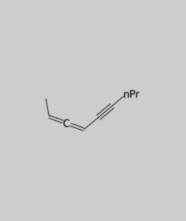 CC=C=CC#CCCC